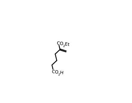 C=C(CCCC(=O)O)C(=O)OCC